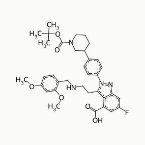 COc1ccc(CNCCc2c3c(C(=O)O)cc(F)cc3nn2-c2ccc(C3CCCN(C(=O)OC(C)(C)C)C3)cc2)c(OC)c1